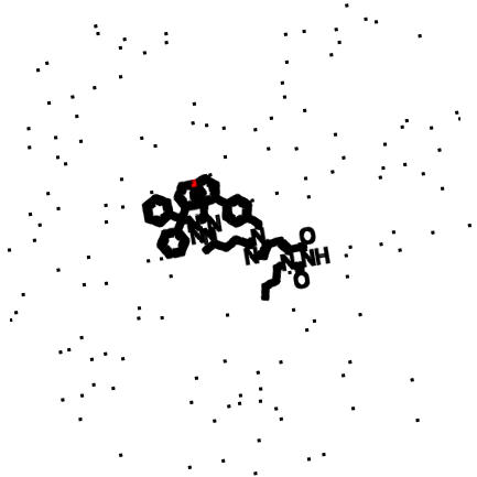 CCCCc1ncc(C=C2C(=O)NC(=O)N2CCCC)n1Cc1ccc(-c2ccccc2-c2nnnn2C(c2ccccc2)(c2ccccc2)c2ccccc2)cc1